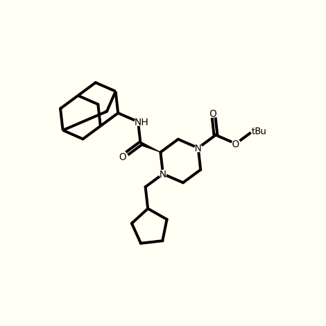 CC(C)(C)OC(=O)N1CCN(CC2CCCC2)[C@@H](C(=O)NC2C3CC4CC(C3)CC2C4)C1